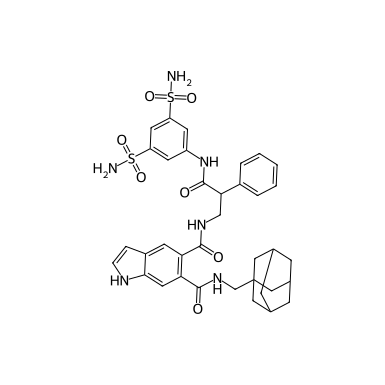 NS(=O)(=O)c1cc(NC(=O)C(CNC(=O)c2cc3cc[nH]c3cc2C(=O)NCC23CC4CC(CC(C4)C2)C3)c2ccccc2)cc(S(N)(=O)=O)c1